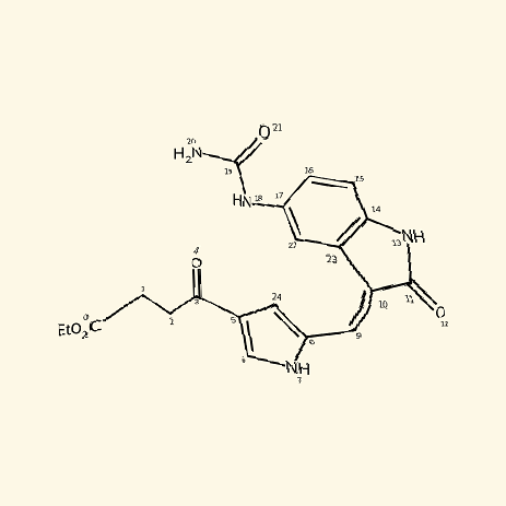 CCOC(=O)CCC(=O)c1c[nH]c(/C=C2/C(=O)Nc3ccc(NC(N)=O)cc32)c1